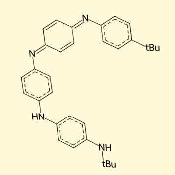 CC(C)(C)Nc1ccc(Nc2ccc(N=C3C=CC(=Nc4ccc(C(C)(C)C)cc4)C=C3)cc2)cc1